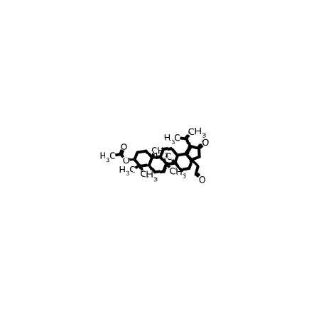 CC(=O)OC1CCC2(C)C(CCC3(C)C2CCC2C4=C(C(C)C)C(=O)CC4(CC=O)CCC23C)C1(C)C